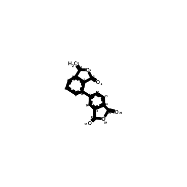 C=C1OC(=O)c2c1cccc2-c1ccc2c(c1)C(=O)OC2=O